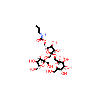 CCCNC(=O)OC[C@H]1O[C@@](CO[C@]2(CO)O[C@H](CO)C(O)[C@H]2O)(OC[C@@]2(O)OC(CO)[C@@H](O)[C@H](O)C2O)[C@H](O)C1O